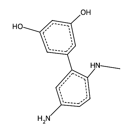 CNc1ccc(N)cc1-c1cc(O)cc(O)c1